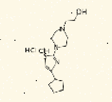 Cl.Cl.OCCN1CCN(c2nc(C3CCCC3)cs2)CC1